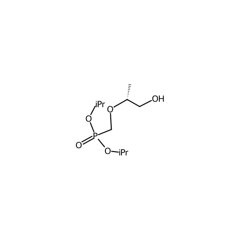 CC(C)OP(=O)(CO[C@H](C)CO)OC(C)C